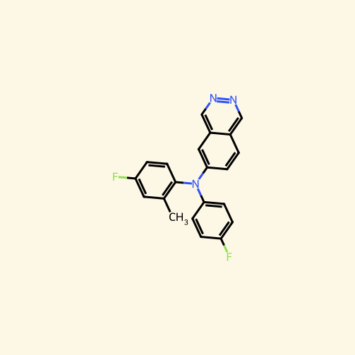 Cc1cc(F)ccc1N(c1ccc(F)cc1)c1ccc2cnncc2c1